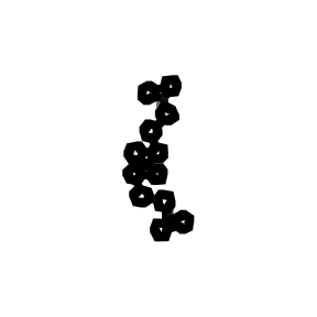 c1cc(-c2cccc(-n3c4ccccc4c4ccccc43)c2)cc(-c2cccc3c2-c2ccccc2C32c3ccccc3-c3c(-c4cccc(-c5cccc(-n6c7ccccc7c7ccccc76)c5)c4)cccc32)c1